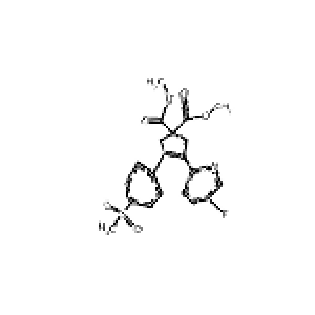 COC(=O)C1(C(=O)OC)CC(c2ccc(S(C)(=O)=O)cc2)=C(c2ccc(F)cn2)C1